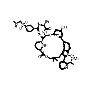 CCn1c(-c2cccnc2[C@H](C)OC)c2c3cc(ccc31)-c1cc(O)cc(c1)C[C@H](NC(=O)[C@H](C(C)C)N(C)C(=O)[C@H]1CCN(S(=O)(=O)CN(C)C)C1)C(=O)N1CCC[C@H](N1)C(=O)OCC(C)(C)C2